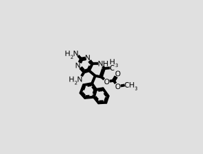 COC(=O)OC1=C(C)Nc2nc(N)nc(N)c2C1c1cccc2ccccc12